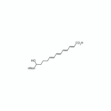 CCCCCCCCCC(O)CCCC=CC=CC=CC=CC(=O)O